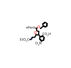 CCCCC[C@@H](OCc1ccccc1)C1CC(c2cc([N+](=O)[O-])ccc2C(=O)O)C(C/C=C/C(=O)OCC)O1